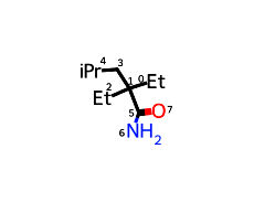 CCC(CC)(CC(C)C)C(N)=O